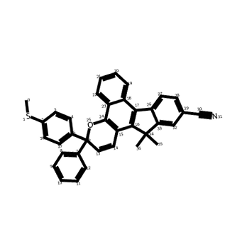 CSc1ccc(C2(c3ccccc3)C=Cc3c4c(c5ccccc5c3O2)-c2ccc(C#N)cc2C4(C)C)cc1